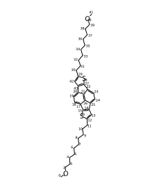 COCCCCCCCCCCc1cc2c(s1)-c1ccc3c4c(ccc-2c14)-c1sc(CCCCCCCCCCOC)cc1-3